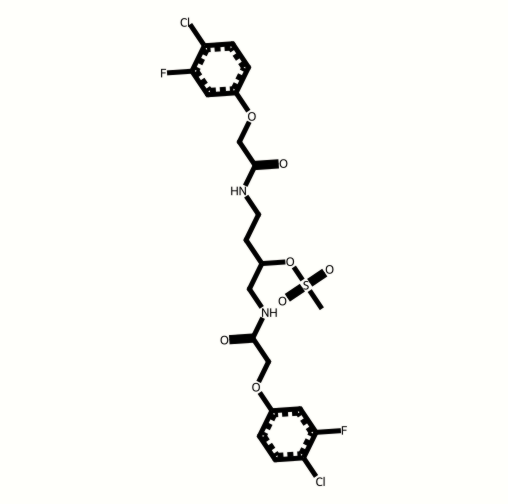 CS(=O)(=O)OC(CCNC(=O)COc1ccc(Cl)c(F)c1)CNC(=O)COc1ccc(Cl)c(F)c1